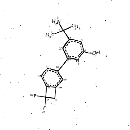 CC(C)(N)c1cc(O)nc(-c2ccc3c(c2)CC3(F)F)c1